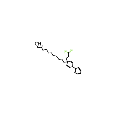 CCCCCCCCCCCCC1(CC=C(F)F)C=CC(c2ccccc2)C=C1